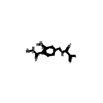 C=C(C)C(=O)NCc1ccc(C(=O)NO)c(O)c1